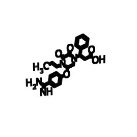 CCCN1C(=O)C(=O)N(C(CC(=O)O)c2ccccc2)CC1Oc1ccc(C(=N)N)cc1